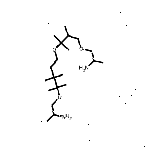 CC(N)COCC(C)C(C)(C)OCCC(C)(C)C(C)(C)OCC(C)N